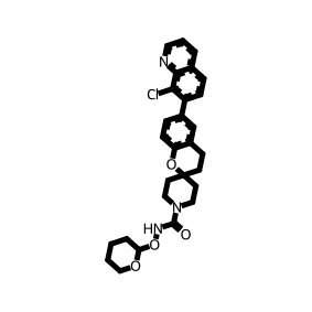 O=C(NOC1CCCCO1)N1CCC2(CCc3cc(-c4ccc5cccnc5c4Cl)ccc3O2)CC1